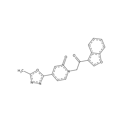 Cc1nnc(-c2ccn(CC(=O)c3coc4ccccc34)c(=O)c2)o1